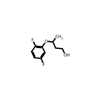 CC(CCO)Oc1cc(F)ccc1F